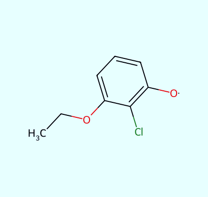 CCOc1cccc([O])c1Cl